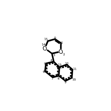 C1=COC(c2cccc3ccccc23)OC1